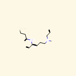 C=CCN(C)CC/C=C(/C=C)NC(=C)CCNC